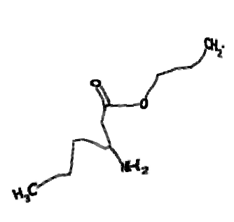 [CH2]CCOC(=O)C(N)CCC